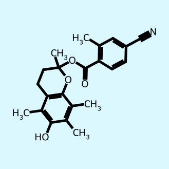 Cc1cc(C#N)ccc1C(=O)OC1(C)CCc2c(C)c(O)c(C)c(C)c2O1